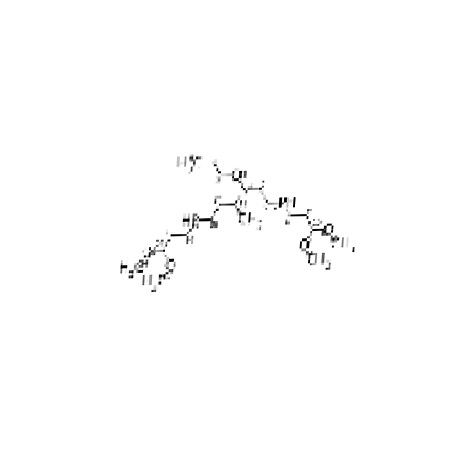 CCCON(CCPCCC(OC)OC)C(C)CCPCCC(OC)OC